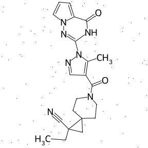 CCC1(C#N)CC12CCN(C(=O)c1cnn(-c3nn4cccc4c(=O)[nH]3)c1C)CC2